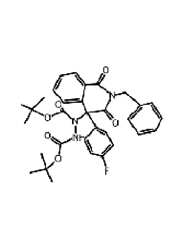 CC(C)(C)OC(=O)NN(C(=O)OC(C)(C)C)C1(c2ccc(F)cc2)C(=O)N(Cc2ccccc2)C(=O)c2ccccc21